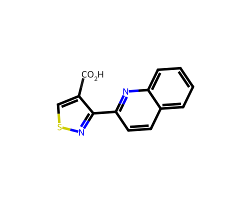 O=C(O)c1csnc1-c1ccc2ccccc2n1